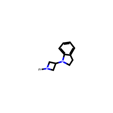 CC(C)N1CC(N2CCc3ccccc32)C1